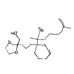 C=C(C)CCCC(C)(O)C1(CCC2(CO)OCCO2)CCCSS1